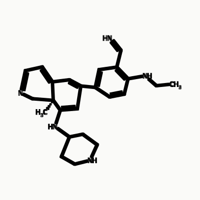 CCNc1ccc(C2=CC3=CC=NC[C@]3(C)C(NC3CCNCC3)=C2)cc1C=N